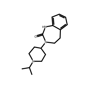 CC(C)N1CCC(N2CCc3ccccc3NC2=O)CC1